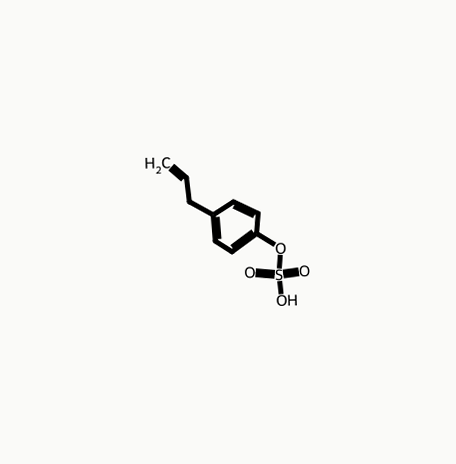 C=CCc1ccc(OS(=O)(=O)O)cc1